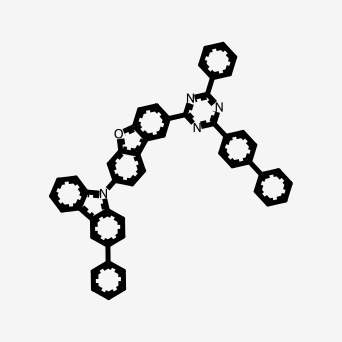 c1ccc(-c2ccc(-c3nc(-c4ccccc4)nc(-c4ccc5oc6cc(-n7c8ccccc8c8cc(-c9ccccc9)ccc87)ccc6c5c4)n3)cc2)cc1